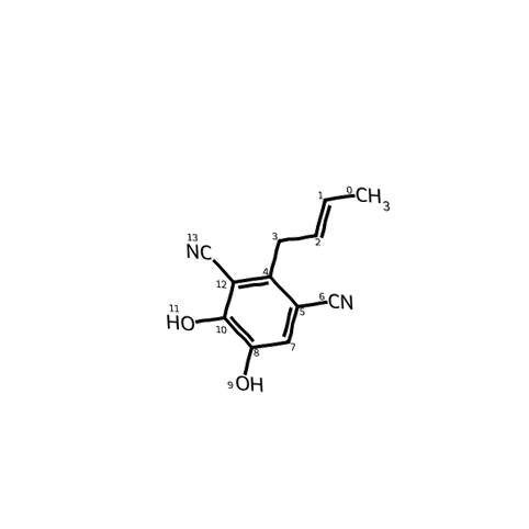 CC=CCc1c(C#N)cc(O)c(O)c1C#N